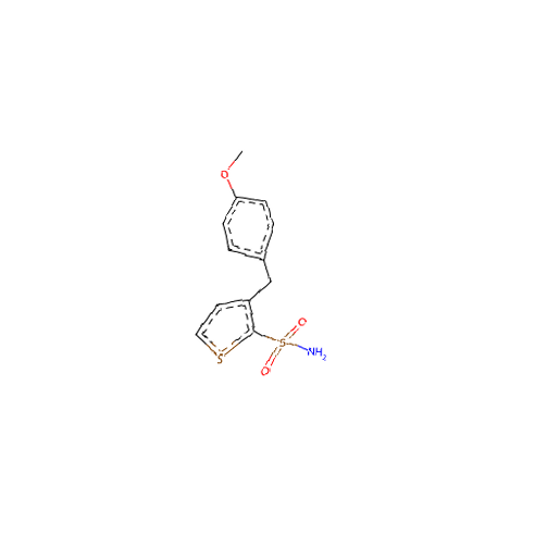 COc1ccc(Cc2ccsc2S(N)(=O)=O)cc1